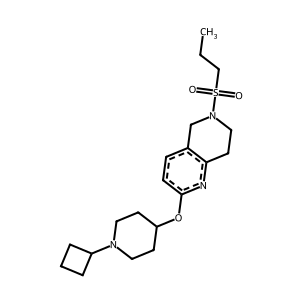 CCCS(=O)(=O)N1CCc2nc(OC3CCN(C4CCC4)CC3)ccc2C1